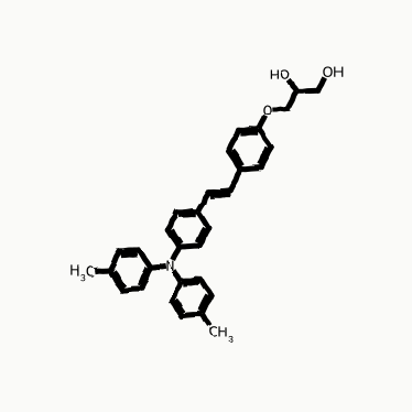 Cc1ccc(N(c2ccc(C)cc2)c2ccc(/C=C/c3ccc(OCC(O)CO)cc3)cc2)cc1